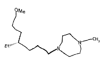 CC[C@@H](CCCN1CCN(C)CC1)CCOC